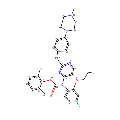 CCCOc1cc(F)ccc1N(C(=O)Oc1c(C)cccc1C)c1ccnc(Nc2ccc(N3CCN(C)CC3)cc2)n1